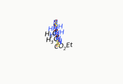 CCOC(=O)CSc1nnc(/N=N/c2ccc(NNc3ccc(NNc4ccc(N5CCCC5)s4)cc3C)cc2C)s1